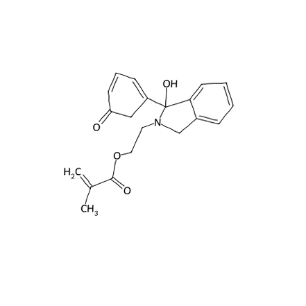 C=C(C)C(=O)OCCN1Cc2ccccc2C1(O)C1=CC=CC(=O)C1